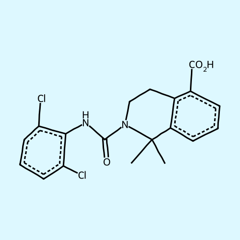 CC1(C)c2cccc(C(=O)O)c2CCN1C(=O)Nc1c(Cl)cccc1Cl